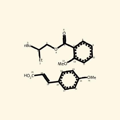 CCCCC(CC)COC(=O)c1ccccc1OC.COc1ccc(C=CC(=O)O)cc1